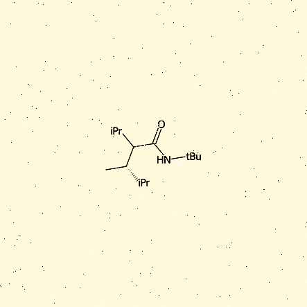 CC(C)C(C(=O)NC(C)(C)C)[C@@H](C)C(C)C